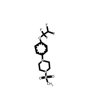 CS(=O)(=O)N1CCN(c2ccc(OC(F)(F)C(F)F)cc2)CC1